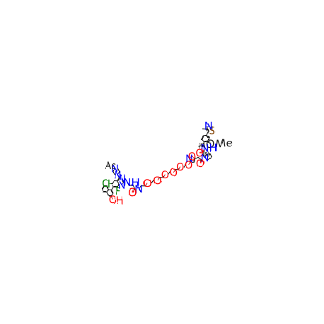 COc1cc(-c2scnc2C)ccc1[C@H](C)NC(=O)[C@@H]1CCCN1C(=O)Cc1cc(OCCOCCOCCOCCOCCOCCN(C)C(=O)CCNc2nc(N3CCN(C(C)=O)CC3)c3cc(Cl)c(-c4cc(O)cc5ccccc45)c(F)c3n2)no1